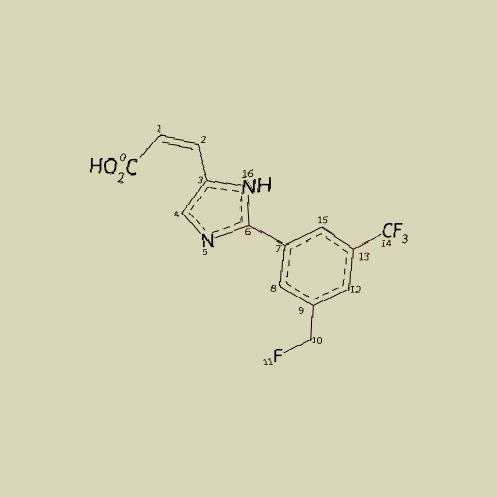 O=C(O)/C=C\c1cnc(-c2cc(CF)cc(C(F)(F)F)c2)[nH]1